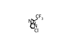 FC(F)(F)Cc1cnc2ccc(Cl)nn12